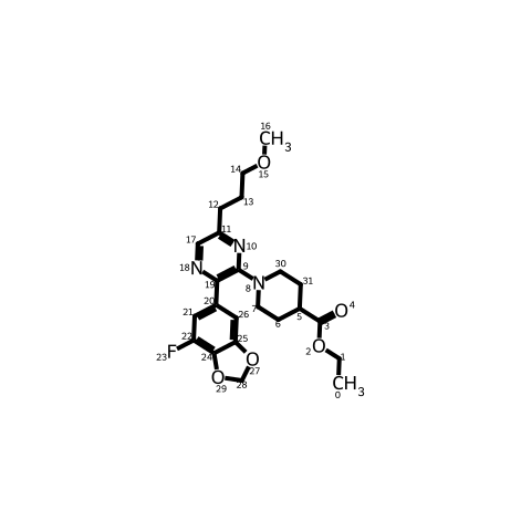 CCOC(=O)C1CCN(c2nc(CCCOC)cnc2-c2cc(F)c3c(c2)OCO3)CC1